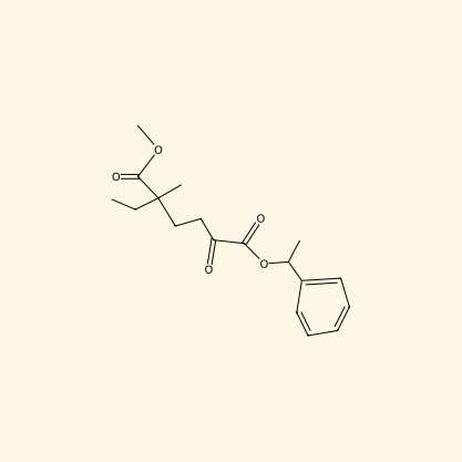 CCC(C)(CCC(=O)C(=O)OC(C)c1ccccc1)C(=O)OC